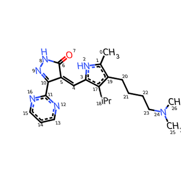 Cc1[nH]c(C=C2C(=O)NN=C2c2ncccn2)c(C(C)C)c1CCCCN(C)C